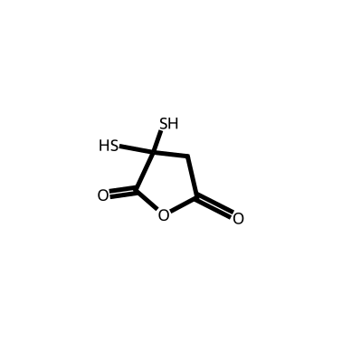 O=C1CC(S)(S)C(=O)O1